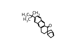 CC(C)(C)c1ccc2cc3c(cc2c1)CCC1(CC2=CCC1C2)C3=O